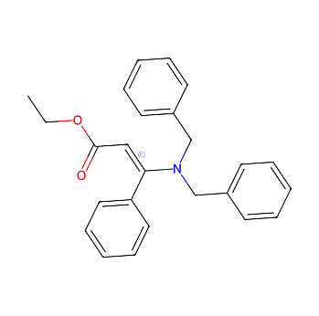 CCOC(=O)/C=C(\c1ccccc1)N(Cc1ccccc1)Cc1ccccc1